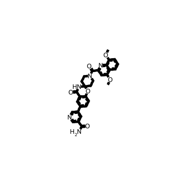 COc1cc(C(=O)N2CCC3(CC2)NC(=O)c2cc(-c4cncc(C(N)=O)c4)ccc2O3)nc2c(OC)cccc12